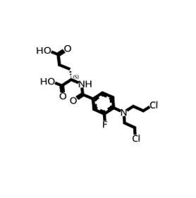 O=C(O)CC[C@H](NC(=O)c1ccc(N(CCCl)CCCl)c(F)c1)C(=O)O